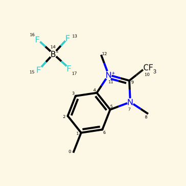 Cc1ccc2c(c1)n(C)c(C(F)(F)F)[n+]2C.F[B-](F)(F)F